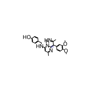 COc1ccc(/C(C(C)=N)=C2\N=C(C)C=C(NCc3ccc(O)cc3)N2)cc1OC